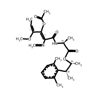 C=N/C(C(=O)N[C@@H](C)C(=O)O[C@H](C)[C@H](C)c1c(C)cccc1C)=C(OC(C)=O)\C(=C/C)OC